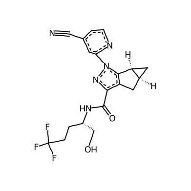 N#Cc1ccnc(-n2nc(C(=O)N[C@H](CO)CCC(F)(F)F)c3c2[C@H]2C[C@H]2C3)c1